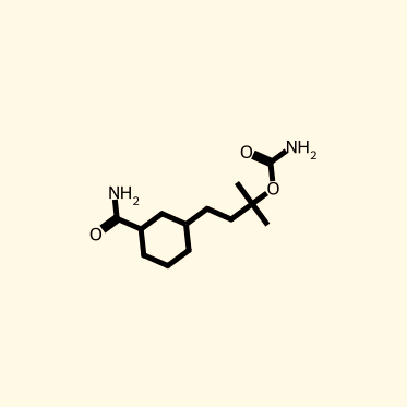 CC(C)(CCC1CCCC(C(N)=O)C1)OC(N)=O